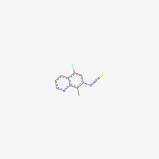 Cc1c(N=C=S)cc(F)c2cccnc12